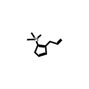 C=CCC1=[C]([Pt]([CH3])([CH3])[CH3])CC=C1